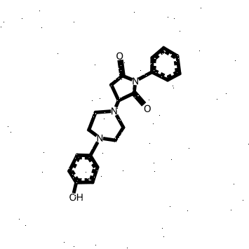 O=C1CC(N2CCN(c3ccc(O)cc3)CC2)C(=O)N1c1ccccc1